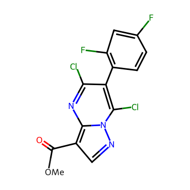 COC(=O)c1cnn2c(Cl)c(-c3ccc(F)cc3F)c(Cl)nc12